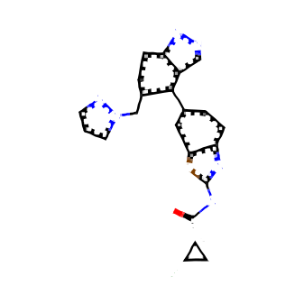 O=C(Nc1nc2ccc(-c3c(Cn4cccn4)ccc4[nH]ncc34)cc2s1)[C@@H]1C[C@@H]1F